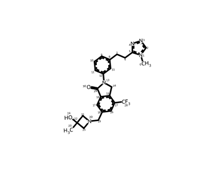 Cn1cnnc1CCc1cccc(N2Cc3c(cc(CN4CC(C)(O)C4)cc3C(F)(F)F)C2=O)c1